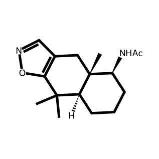 CC(=O)N[C@H]1CCC[C@H]2C(C)(C)c3oncc3C[C@]12C